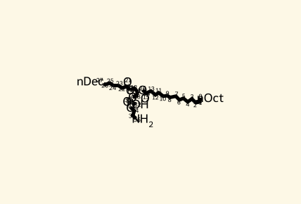 CCCCCCCC/C=C\CCCCCCCCCCCC(=O)OC(COC(=O)CCCCCCCCCCCCCCC)COP(=O)(O)OCCN